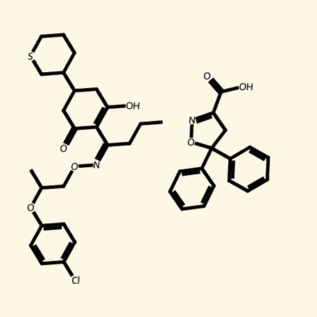 CCCC(=NOCC(C)Oc1ccc(Cl)cc1)C1=C(O)CC(C2CCCSC2)CC1=O.O=C(O)C1=NOC(c2ccccc2)(c2ccccc2)C1